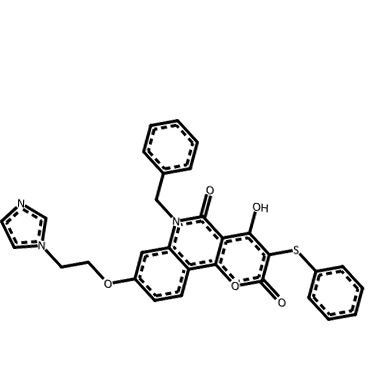 O=c1oc2c(c(O)c1Sc1ccccc1)c(=O)n(Cc1ccccc1)c1cc(OCCn3ccnc3)ccc21